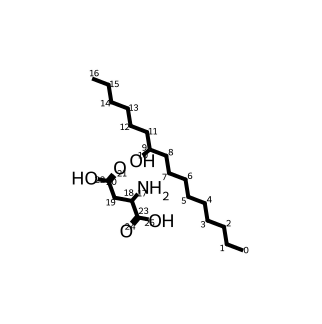 CCCCCCCCCC(O)CCCCCC.NC(CC(=O)O)C(=O)O